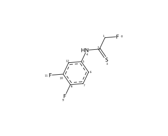 FCC(=S)Nc1ccc(F)c(F)c1